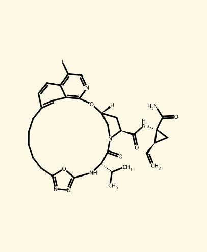 C=C[C@@H]1C[C@]1(NC(=O)[C@@H]1C[C@@H]2CN1C(=O)[C@H](C(C)C)Nc1nnc(o1)CCCCCc1ccc3c(I)cnc(c3c1)O2)C(N)=O